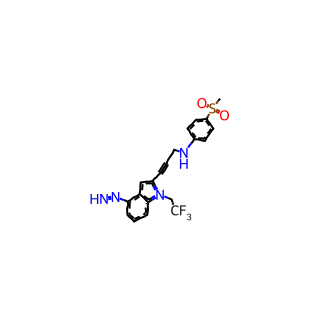 CS(=O)(=O)c1ccc(NCC#Cc2cc3c(N=N)cccc3n2CC(F)(F)F)cc1